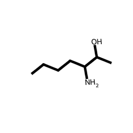 CCCCC(N)C(C)O